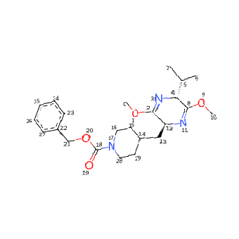 COC1=N[C@H](C(C)C)C(OC)=N[C@H]1CC1CCN(C(=O)OCc2ccccc2)CC1